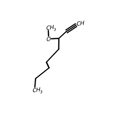 C#CC(CCCCC)OC